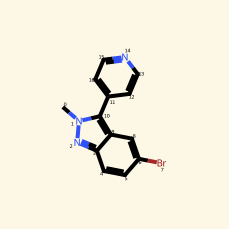 Cn1nc2ccc(Br)cc2c1-c1ccncc1